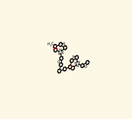 Cc1cccc(-c2ccc3sc4cccc(-c5nc(-c6ccccc6)nc(-c6ccc7c(c6)oc6cc(-c8ccccc8-c8ccc(-c9cccc(-c%10ccc%11sc%12cccc(-c%13nc(-c%14ccccc%14)nc(-c%14ccc%15oc%16ccccc%16c%15c%14)n%13)c%12c%11c%10)c9)cc8)ccc67)n5)c4c3c2)c1